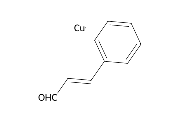 O=CC=Cc1ccccc1.[Cu]